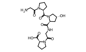 NCC(=O)N1CCC[C@H]1C(=O)N1C[C@H](O)C[C@H]1C(=O)NCC(=O)N1CCC[C@H]1C(=O)O